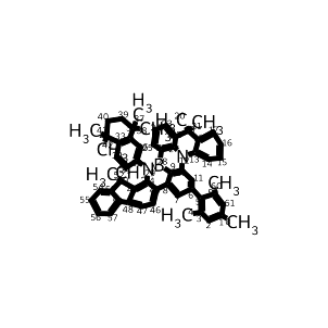 Cc1cc(C)c(-c2cc3c4c(c2)N2c5ccccc5C(C)(C)c5cccc(c52)B4N(c2ccc4c(c2)C(C)(C)CCC4(C)C)c2c-3ccc3c2C(C)(C)c2ccccc2-3)c(C)c1